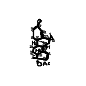 CC(=O)O[C@@]1(C)CC[C@H]2[C@@H]3CC4(CC4)C4=CC(=O)CC[C@]4(C)[C@H]3CC[C@@]21C